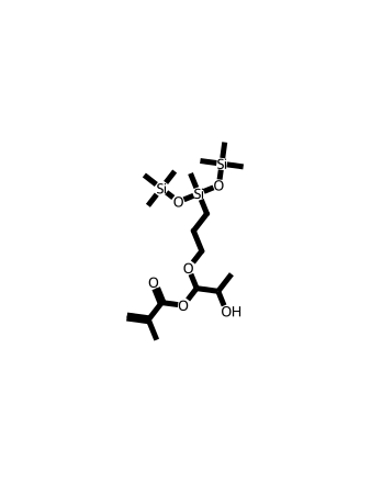 C=C(C)C(=O)OC(OCCC[Si](C)(O[Si](C)(C)C)O[Si](C)(C)C)C(C)O